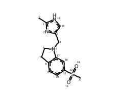 Cc1nc(CN2CCc3ccc(S(C)(=O)=O)cc32)c[nH]1